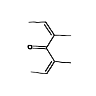 C/C=C(/C)C(=O)/C(C)=C\C